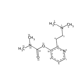 CN(C)CCc1ncccc1OC(=O)N(C)C